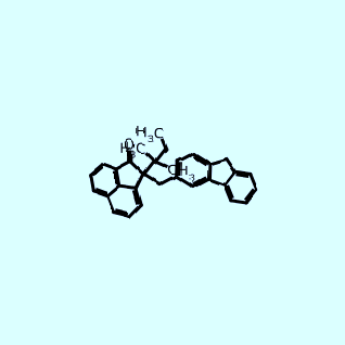 CCC(C)(C)C1(Cc2ccc3c(c2)-c2ccccc2C3)C(=O)c2cccc3cccc1c23